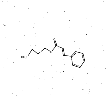 O=C(O)CCCOC(=O)C=Cc1ccccc1